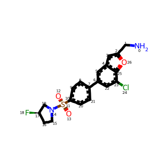 NCc1cc2cc(-c3ccc(S(=O)(=O)N4CC[C@@H](F)C4)cc3)cc(Cl)c2o1